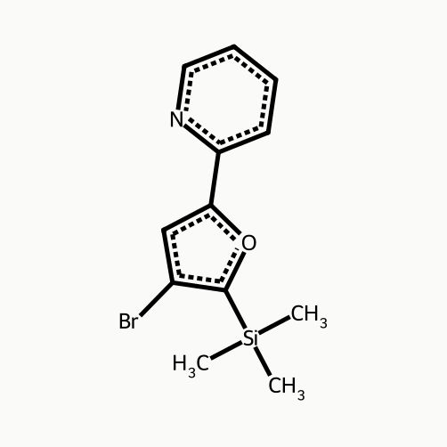 C[Si](C)(C)c1oc(-c2ccccn2)cc1Br